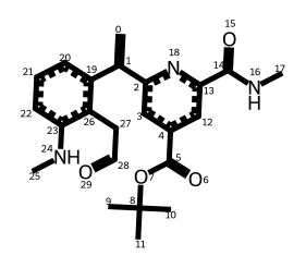 C=C(c1cc(C(=O)OC(C)(C)C)cc(C(=O)NC)n1)c1cccc(NC)c1CC=O